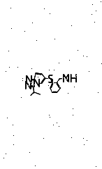 CNCc1ccccc1Sc1ccc2nnc(C(C)C)n2c1